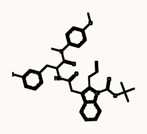 C=CCc1c(CC(=O)NC(Cc2cccc(I)c2)C(=O)N(C)c2ccc(OC)cc2)c2ccccc2n1C(=O)OC(C)(C)C